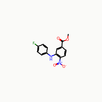 COC(=O)c1ccc([N+](=O)[O-])c(Nc2ccc(F)cc2)c1